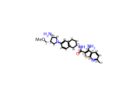 COC[C@H]1CN(c2ccc3c(c2)CC[C@H](NC(=O)c2sc4nc(C)ccc4c2N)C3)C[C@H]1N